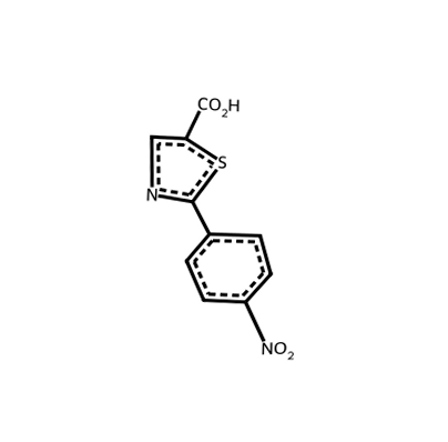 O=C(O)c1cnc(-c2ccc([N+](=O)[O-])cc2)s1